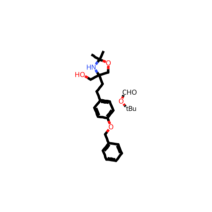 CC(C)(C)OC=O.CC1(C)NC(CO)(CCc2ccc(OCc3ccccc3)cc2)CO1